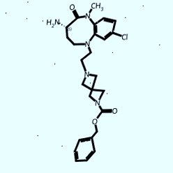 CN1C(=O)[C@@H](N)CCN(CCN2CC3(C2)CN(C(=O)OCc2ccccc2)C3)c2cc(Cl)ccc21